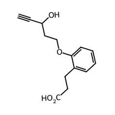 C#CC(O)CCOc1ccccc1CCC(=O)O